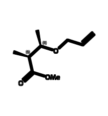 C=CCO[C@H](C)[C@H](C)C(=O)OC